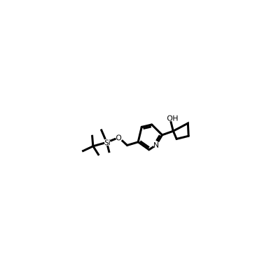 CC(C)(C)[Si](C)(C)OCc1ccc(C2(O)CCC2)nc1